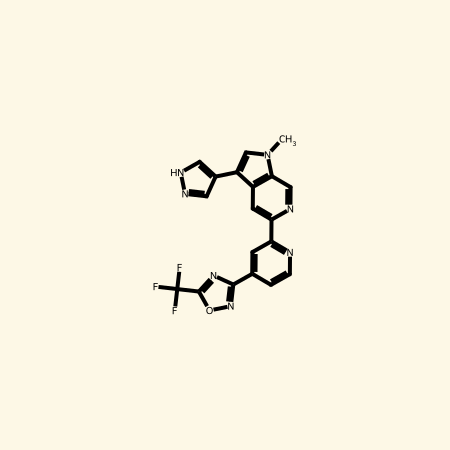 Cn1cc(-c2cn[nH]c2)c2cc(-c3cc(-c4noc(C(F)(F)F)n4)ccn3)ncc21